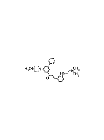 CN(C)CCNc1cccc(/C=C/C(=O)c2cc(-c3ccccc3)cc(N3CCN(C)CC3)c2)c1